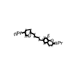 CCCC1CCC(CCCCc2cc(F)c3c(c2)CCC(CCC)O3)OC1